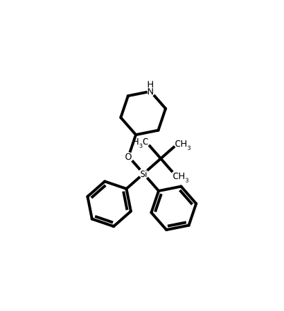 CC(C)(C)[Si](OC1CCNCC1)(c1ccccc1)c1ccccc1